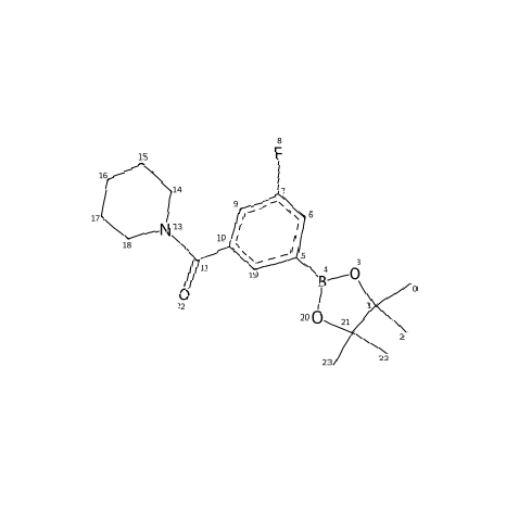 CC1(C)OB(c2cc(F)cc(C(=O)N3CCCCC3)c2)OC1(C)C